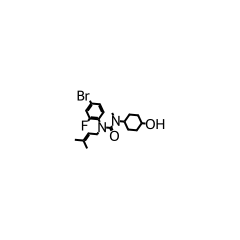 CC(C)=CCN(C(=O)N(C)C1CCC(O)CC1)c1ccc(Br)cc1F